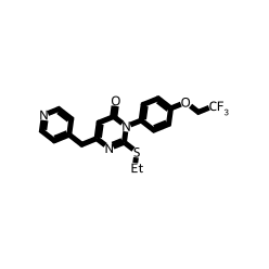 CCSc1nc(Cc2ccncc2)cc(=O)n1-c1ccc(OCC(F)(F)F)cc1